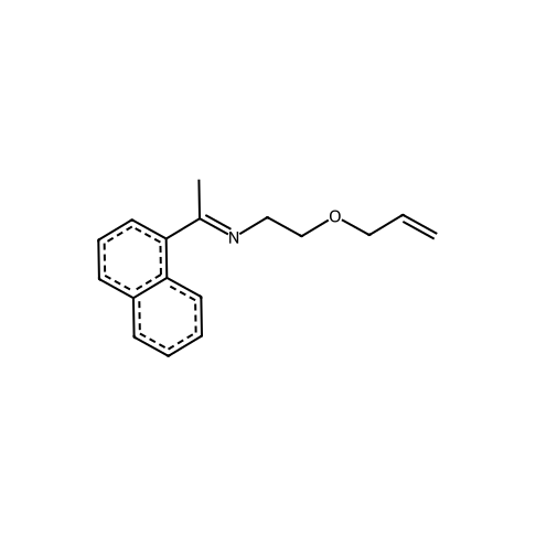 C=CCOCCN=C(C)c1cccc2ccccc12